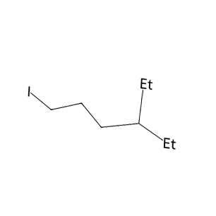 CCC(CC)CCCI